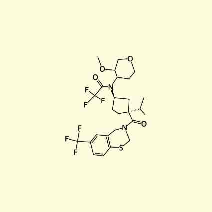 COC1COCCC1N(C(=O)C(F)(F)F)[C@@H]1CC[C@@](C(=O)N2CSc3ccc(C(F)(F)F)cc3C2)(C(C)C)C1